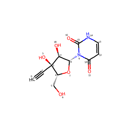 C#C[C@@]1(O)[C@@H](CO)O[C@@H](n2c(=O)cc[nH]c2=O)[C@@H]1O